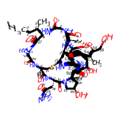 CC[C@H](C)[C@@H]1NC(=O)CNC(=O)[C@H]2Cc3c([nH]c4cc(O)ccc34)SC[C@H](NC(=O)CNC1=O)C(=O)N[C@@H](CC(N)=O)C(=O)N1C[C@H](O)C[C@H]1C(=O)N[C@@H]([C@@H](C)[C@@H](O)CO)C(=O)N2